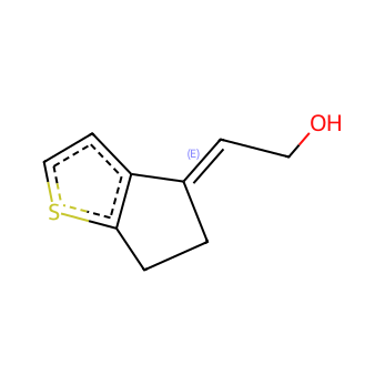 OC/C=C1\CCc2sccc21